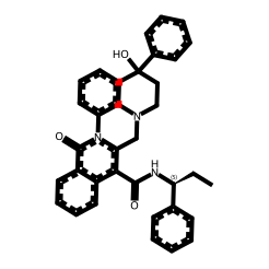 CC[C@H](NC(=O)c1c(CN2CCC(O)(c3ccccc3)CC2)n(-c2ccccc2)c(=O)c2ccccc12)c1ccccc1